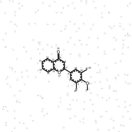 COc1c(F)cc(-c2cc(=O)c3ccccc3o2)cc1F